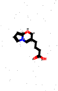 O=C(O)CCCC1=Cn2cccc2OC1